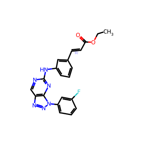 CCOC(=O)/C=C/c1cccc(Nc2ncc3nnn(-c4cccc(F)c4)c3n2)c1